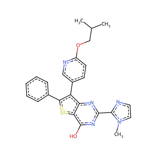 CC(C)COc1ccc(-c2c(-c3ccccc3)sc3c(O)nc(-c4nccn4C)nc23)cn1